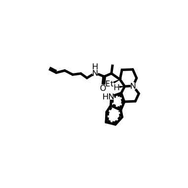 C=CCCCCNC(=O)C(C)[C@]1(CC)CCCN2CCc3c([nH]c4ccccc34)[C@@H]21